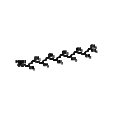 CC(C)=CCC/C(C)=C\CC/C(C)=C\CC/C(C)=C\CC/C(C)=C\CC/C(C)=C\CC/C(C)=C\CC/C(C)=C\CC/C(C)=C\CC/C(C)=C\COP(=O)(O)O